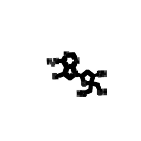 Nc1ncnc2c1c(Br)cn2[C@H]1C[C@H](O)C(CO)(CO)O1